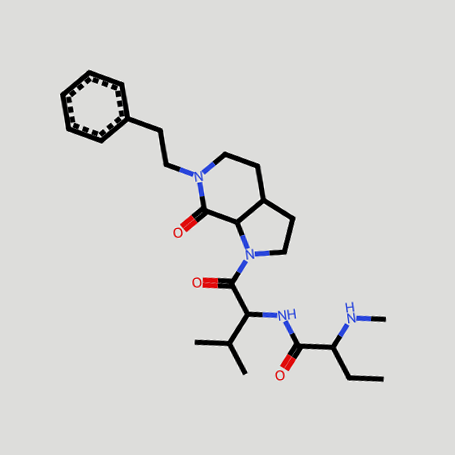 CCC(NC)C(=O)NC(C(=O)N1CCC2CCN(CCc3ccccc3)C(=O)C21)C(C)C